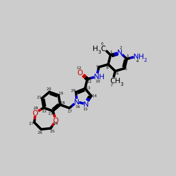 CC1=NC(N)=CC(C)C1CNC(=O)c1cnn(Cc2cccc3c2OCCCO3)c1